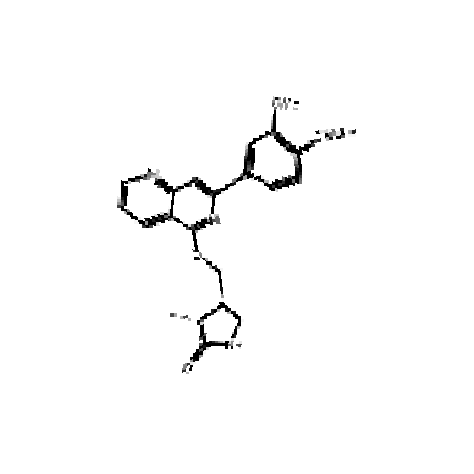 COc1ccc(-c2cc3ncccc3c(OC[C@H]3CNC(=O)[C@@H]3C)n2)cc1OC